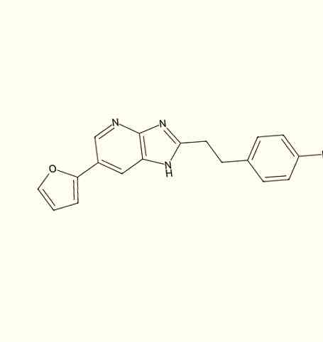 Fc1ccc(CCc2nc3ncc(-c4ccco4)cc3[nH]2)cc1